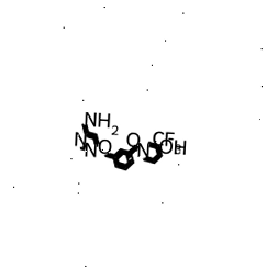 NCc1cc(OCc2cccc(C(=O)N3CCCC(O)(C(F)(F)F)C3)c2)ncn1